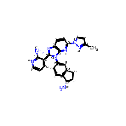 Cc1ccn(-c2ccc3nc(-c4cccnc4N)n(-c4ccc5c(c4)CC[C@@H]5N)c3n2)n1